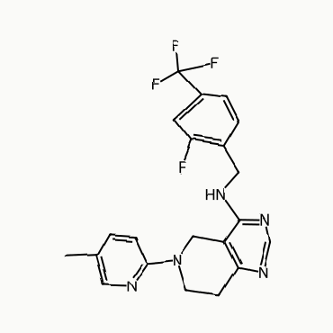 Cc1ccc(N2CCc3ncnc(NCc4ccc(C(F)(F)F)cc4F)c3C2)nc1